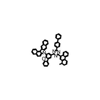 CC1CC=Cc2c1cc(-c1nc(-c3ccc(-c4ccccc4)cc3)nc(-c3cc(-n4c5cc6ccccc6cc5c5c6ccccc6ccc54)c4oc5ccccc5c4c3)n1)c1ccccc21